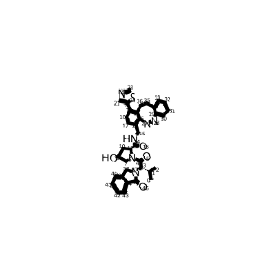 CC(C)[C@@H](C(=O)N1C[C@H](O)C[C@H]1C(=O)NCc1ccc(-c2cncs2)c2c1/N=N\c1ccccc1CC2)N1Cc2ccccc2C1=O